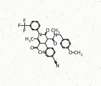 COc1ccc(CN(C)C(=O)C2C(=O)N(c3cccc(C(F)(F)F)c3)C(C)=C(C(C)=O)C2c2ccc(C#N)cc2)cc1